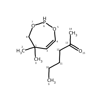 CC1(C)C=COPOC1.CCCCC(C)=O